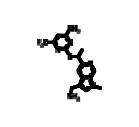 CC(Sc1nc(N)cc(C(F)(F)F)n1)c1cc2c(CN)cn(C)c2cn1